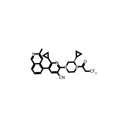 Cc1cc2c(-c3cc(C#N)c(N4CCN(C(=O)CC(F)(F)F)[C@H](C5CC5)C4)nc3C3CC3)cccc2cn1